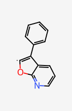 [c]1oc2ncccc2c1-c1ccccc1